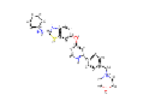 c1cc(Oc2ccc3nc(NC4CCCCC4)sc3c2)cc(-c2ccc(CN3CCOCC3)cc2)n1